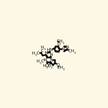 C=C1N(C)c2c(CC(C)C)nc(Nc3ccc(-n4cnc(C)c4)c(OC)c3)nc2N2CC(OC)CC12C